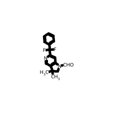 CC1(C)CN(C=O)c2cc(C(F)(F)c3ccccc3)ncc21